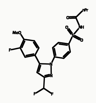 CCCC(=O)NS(=O)(=O)c1ccc(-n2nc(C(F)F)cc2-c2ccc(OC)c(F)c2)cc1